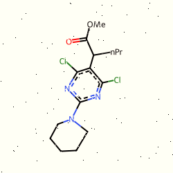 CCCC(C(=O)OC)c1c(Cl)nc(N2CCCCC2)nc1Cl